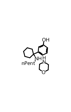 C1COCCN1.CCCCCNC1(c2cccc(O)c2)CCCCC1